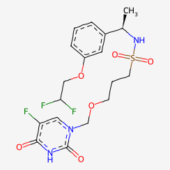 C[C@@H](NS(=O)(=O)CCCOCn1cc(F)c(=O)[nH]c1=O)c1cccc(OCC(F)F)c1